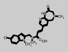 CN1CC(=O)Nc2ncc(/C=C/C(=O)N(C)Cc3cc4cc(Cl)ccc4n3C)cc2C1.Cl